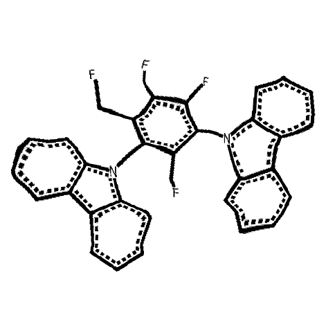 FCc1c(F)c(F)c(-n2c3ccccc3c3ccccc32)c(F)c1-n1c2ccccc2c2ccccc21